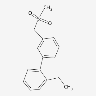 CCc1ccccc1-c1cccc(CS(C)(=O)=O)c1